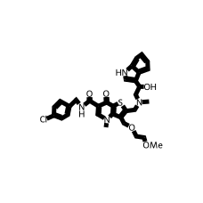 COCCOCc1c(CN(C)CC(O)c2c[nH]c3ccccc23)sc2c(=O)c(C(=O)NCc3ccc(Cl)cc3)cn(C)c12